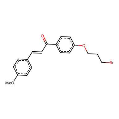 COc1ccc(C=CC(=O)c2ccc(OCCCBr)cc2)cc1